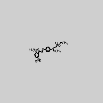 CCOC(=O)CCN(CC)c1ccc(/N=N/c2s[n+](C)c3ccc([N+](=O)[O-])cc23)cc1